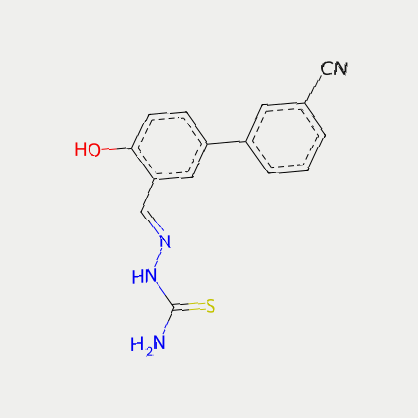 N#Cc1cccc(-c2ccc(O)c(C=NNC(N)=S)c2)c1